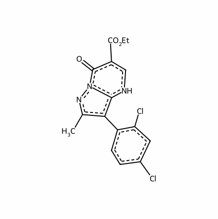 CCOC(=O)c1c[nH]c2c(-c3ccc(Cl)cc3Cl)c(C)nn2c1=O